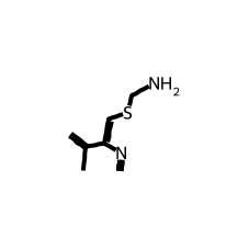 C=N/C(=C\SCN)C(=C)C